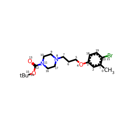 Cc1cc(OCCCN2CCN(C(=O)OC(C)(C)C)CC2)ccc1Br